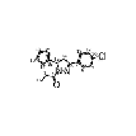 CCC(=O)N1N=C(c2ccc(Cl)cc2)CC1c1cccs1